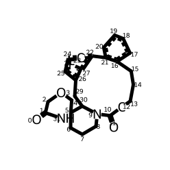 O=C1COCC2(CCCN3C(=O)CCCCc4ccccc4-c4cccc(c4F)CC32)N1